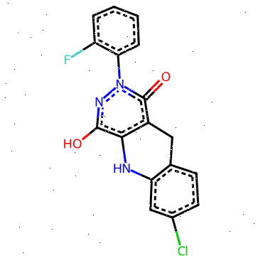 O=c1c2c(c(O)nn1-c1ccccc1F)Nc1cc(Cl)ccc1C2